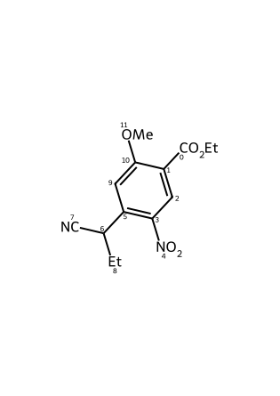 CCOC(=O)c1cc([N+](=O)[O-])c(C(C#N)CC)cc1OC